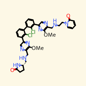 COc1nc(-c2cccc(-c3cccc(-c4cnc(CNC[C@@H]5CCC(=O)N5)c(OC)n4)c3Cl)c2Cl)cnc1CNCCn1ccccc1=O